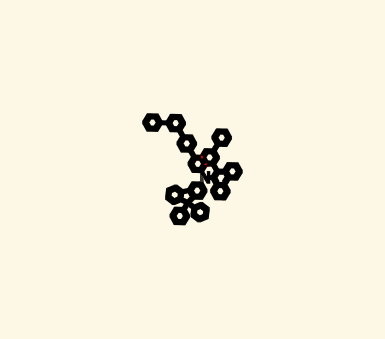 c1ccc(-c2cccc(-c3ccc(-c4ccc(N(c5ccc6c(c5)-c5ccccc5C6(c5ccccc5)c5ccccc5)c5c(-c6cccc(-c7ccccc7)c6)c6ccccc6c6ccccc56)cc4)cc3)c2)cc1